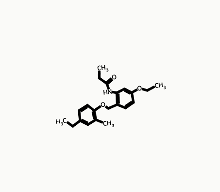 CCOc1ccc(COc2ccc(CC)cc2C)c(NC(=O)CC)c1